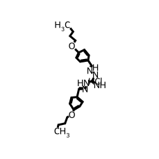 CCCCOc1ccc(C=NNC(=N)NN=Cc2ccc(OCCCC)cc2)cc1.Cl